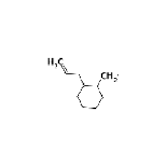 [CH2]C1CCCCC1CC=C